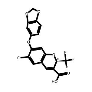 O=C(O)C1=Cc2cc(Cl)c(Oc3ccc4c(c3)OCO4)cc2O[C@H]1C(F)(F)F